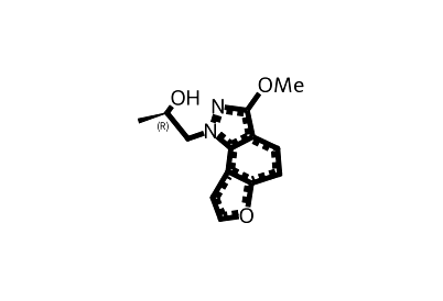 COc1nn(C[C@@H](C)O)c2c1ccc1occc12